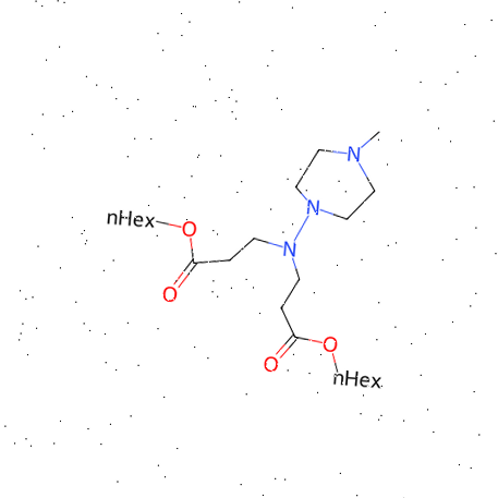 CCCCCCOC(=O)CCN(CCC(=O)OCCCCCC)N1CCN(C)CC1